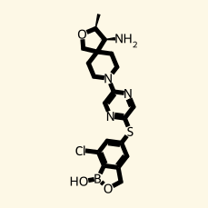 C[C@@H]1OCC2(CCN(c3cnc(Sc4cc(Cl)c5c(c4)COB5O)cn3)CC2)[C@@H]1N